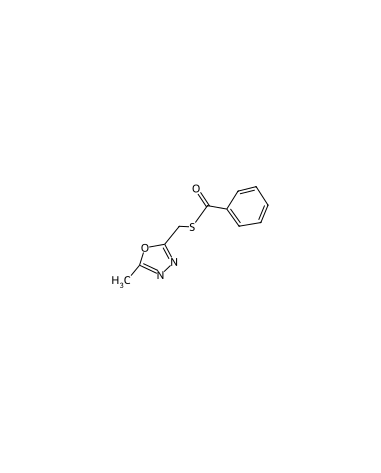 Cc1nnc(CSC(=O)c2ccccc2)o1